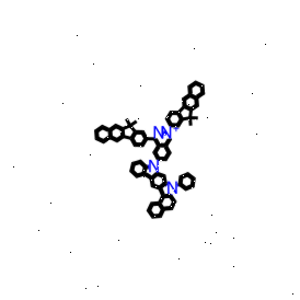 CC1(C)c2cc(-c3n[n+](-c4ccc5c(c4)C(C)(C)c4cc6ccccc6cc4-5)cc4ccc(-n5c6ccccc6c6cc7c8c9ccccc9ccc8n(-c8ccccc8)c7cc65)cc34)ccc2-c2cc3ccccc3cc21